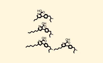 CCCCCCCc1cnc(C(=O)O)c(-c2ccc(C[C@@H](C)CC)cc2)c1.CCCCCCc1cnc(C(=O)O)c(-c2ccc(C[C@@H](C)CC)cc2)c1.CCCCCc1cnc(C(=O)O)c(-c2ccc(C[C@@H](C)CC)cc2)c1.CCCc1cnc(C(=O)O)c(-c2ccc(C[C@@H](C)CC)cc2)c1